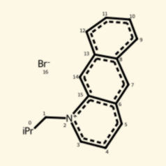 CC(C)C[n+]1cccc2cc3ccccc3cc21.[Br-]